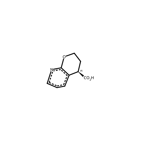 O=C(O)[C@@H]1CCOc2ncccc21